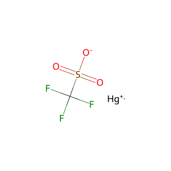 O=S(=O)([O-])C(F)(F)F.[Hg+]